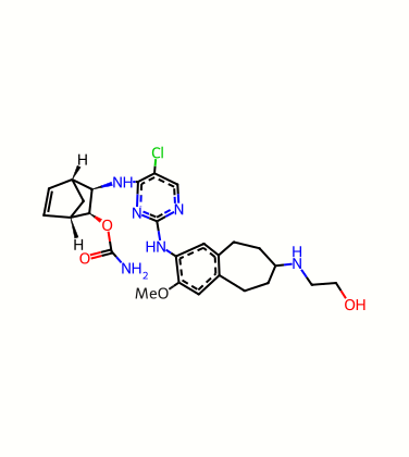 COc1cc2c(cc1Nc1ncc(Cl)c(N[C@H]3[C@@H](OC(N)=O)[C@@H]4C=C[C@H]3C4)n1)CCC(NCCO)CC2